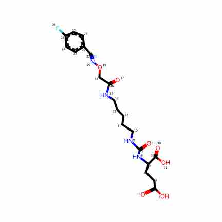 O=C(O)CCC(NC(=O)NCCCCCNC(=O)CO/N=C/c1ccc(F)cc1)C(=O)O